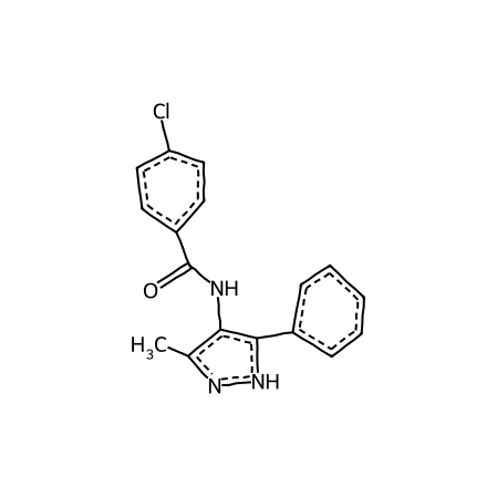 Cc1n[nH]c(-c2ccccc2)c1NC(=O)c1ccc(Cl)cc1